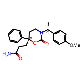 COc1ccc([C@H](C)N2CC[C@@](CCC(N)=O)(c3ccccc3)OC2=O)cc1